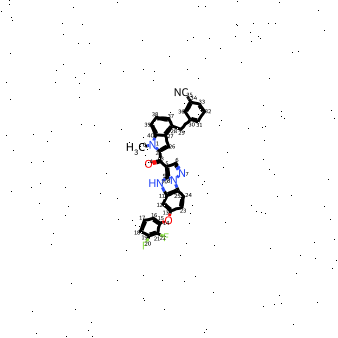 Cn1c(C(=O)c2cnn3c2[nH]c2cc(Oc4cccc(F)c4F)ccc23)cc2c(Cc3cccc(C#N)c3)cccc21